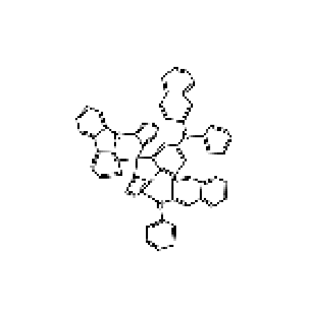 c1ccc(N(c2ccc3c(c2)C2(c4ccccc4-n4c5ccccc5c5cccc2c54)c2cccc(N(c4ccccc4)c4ccc5ccccc5c4)c2-3)c2ccc3ccccc3c2)cc1